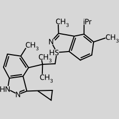 CC1=N[SH](CC(C)(C)c2c(C)ccc3[nH]nc(C4CC4)c23)c2ccc(C)c(C(C)C)c21